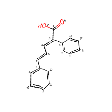 O=C(O)/C(=C/C=C/c1ccccc1)c1ccccc1